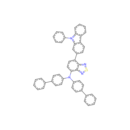 c1ccc(-c2ccc(N(c3ccc(-c4ccccc4)cc3)c3ccc(-c4ccc5c6ccccc6n(-c6ccccc6)c5c4)c4nsnc34)cc2)cc1